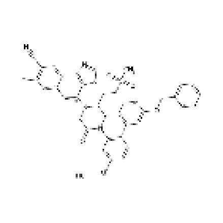 CS(=O)(=O)CCC1CN(c2cc(Cl)ccc2-c2cccc(OCc3ccccc3)c2)C(=O)CN1[C@@H](Cc1ccc(C#N)c(F)c1)c1cnc[nH]1.Cl